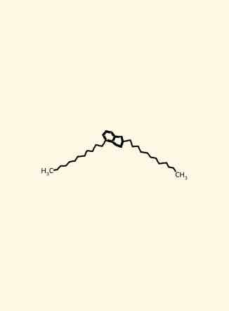 CCCCCCCCCCCCc1ccc2c(CCCCCCCCCCCC)cccc2c1